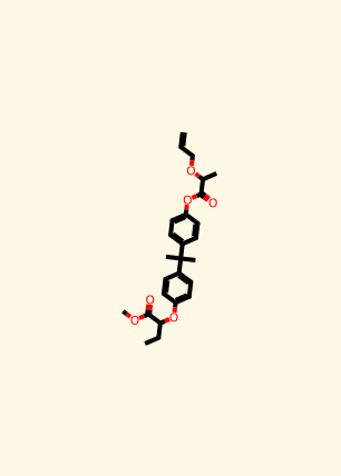 C=CCOC(C)C(=O)Oc1ccc(C(C)(C)c2ccc(OC(CC)C(=O)OC)cc2)cc1